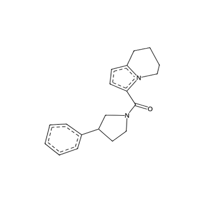 O=C(c1ccc2n1CCCC2)N1CCC(c2ccccc2)C1